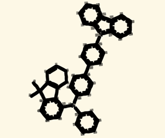 CC1(C)C2=C(CCC=C2)c2c(N(c3ccccc3)c3ccc(-c4ccc(-n5c6ccccc6c6ccccc65)cc4)cc3)cccc21